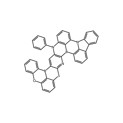 c1ccc(N2c3cc4c(nc3B3c5c2cccc5-n2c5ccccc5c5cccc3c52)Sc2cccc3c2B4c2ccccc2O3)cc1